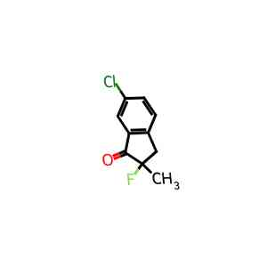 CC1(F)Cc2ccc(Cl)cc2C1=O